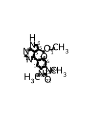 CCOC(=O)c1c[nH]c2ncnc(-c3ccc4c(c3)n(C)c(=O)n4C)c12